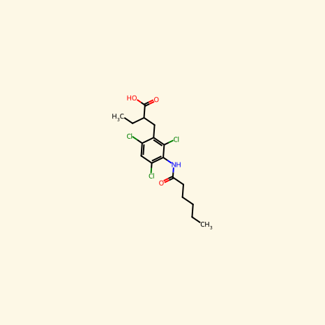 CCCCCC(=O)Nc1c(Cl)cc(Cl)c(CC(CC)C(=O)O)c1Cl